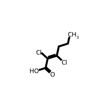 CCCC(Cl)=C(Cl)C(=O)O